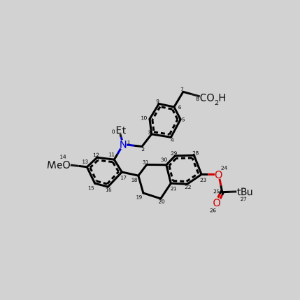 CCN(Cc1ccc(CC(=O)O)cc1)c1cc(OC)ccc1C1CCc2cc(OC(=O)C(C)(C)C)ccc2C1